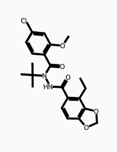 CCc1c(C(=O)NN(C(=O)c2ccc(Cl)cc2OC)C(C)(C)C)ccc2c1OCO2